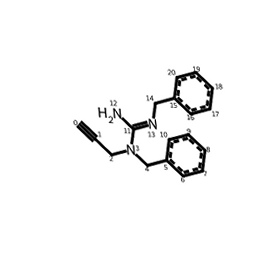 C#CCN(Cc1ccccc1)C(N)=NCc1ccccc1